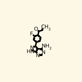 C=CC(=O)c1ccc(-c2n[nH]c3ncnc(N)c23)cc1F